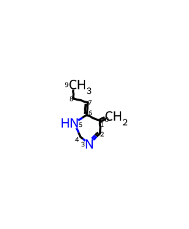 C=C1C=NCN/C1=C\CC